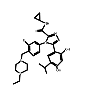 CCN1CCN(Cc2ccc(-n3c(C(=O)NC4CC4)nnc3-c3cc(C(C)C)c(O)cc3O)cc2F)CC1